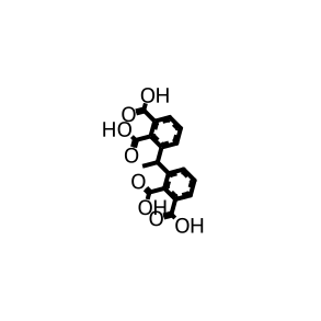 CC(c1cccc(C(=O)O)c1C(=O)O)c1cccc(C(=O)O)c1C(=O)O